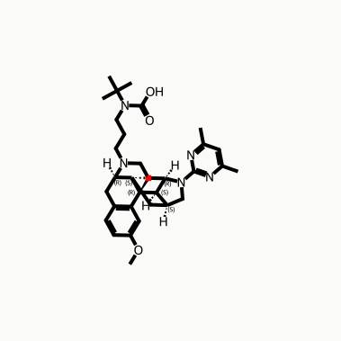 COc1ccc2c(c1)[C@]13CCN(CCCN(C(=O)O)C(C)(C)C)[C@H](C2)[C@]12CC[C@@H]1[C@H]3[C@@H](CN1c1nc(C)cc(C)n1)C2